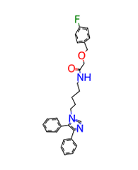 O=C(COCc1ccc(F)cc1)NCCCCCn1cnc(-c2ccccc2)c1-c1ccccc1